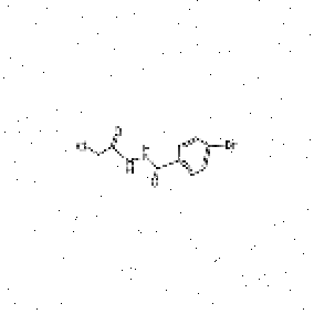 O=C(CCl)NNC(=O)c1ccc(Br)cc1